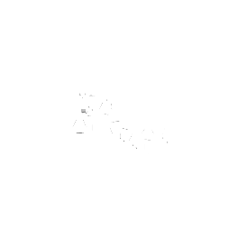 COc1ncc(-c2ccc3nc(N)c(-c4ccc(C(=O)N5CCCCC5)cc4)cc3c2)cc1NS(=O)(=O)c1ccc(F)cc1F